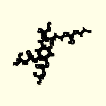 CCCOC(=O)OCCN[C@@H](Cc1ccc(OC(=O)OC(C)C)c(OC(=O)OC(C)C)c1)C(=O)OC